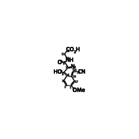 COc1ccc2c(O)c(C(=O)NCC(=O)O)nc(C#N)c2c1